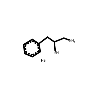 Br.NCC(S)Cc1ccccc1